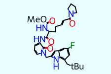 COC(=O)NC(CC/C=C/C(=O)N1CCCC1)C(=O)Nc1cccn(Cc2cc3cc(F)cc(CC(C)(C)C)c3[nH]2)c1=O